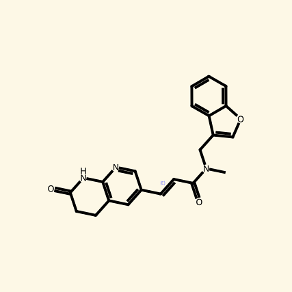 CN(Cc1coc2ccccc12)C(=O)/C=C/c1cnc2c(c1)CCC(=O)N2